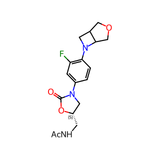 CC(=O)NC[C@H]1CN(c2ccc(N3CC4COCC43)c(F)c2)C(=O)O1